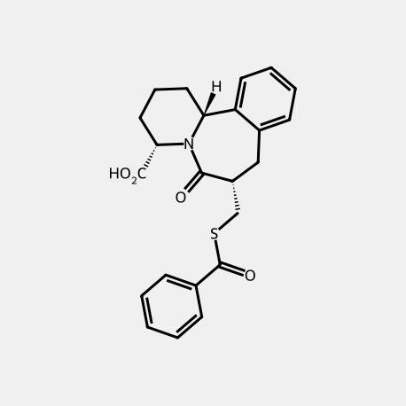 O=C(SC[C@H]1Cc2ccccc2[C@H]2CCC[C@@H](C(=O)O)N2C1=O)c1ccccc1